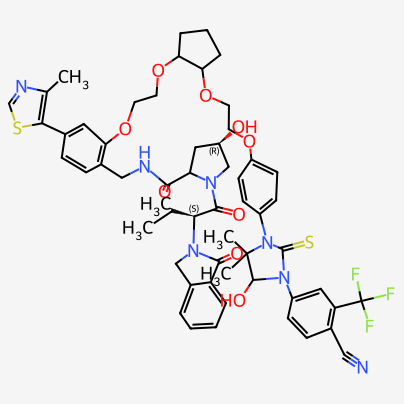 Cc1ncsc1-c1ccc(CNC(=O)C2C[C@@H](O)CN2C(=O)[C@H](C(C)C)N2Cc3ccccc3C2=O)c(OCCOC2CCCC2OCCOc2ccc(N3C(=S)N(c4ccc(C#N)c(C(F)(F)F)c4)C(O)C3(C)C)cc2)c1